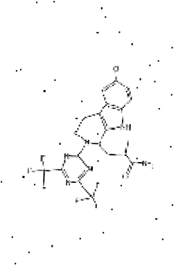 CC(CC1c2[nH]c3ccc(Cl)cc3c2CCN1c1nc(C(F)(F)F)nc(C(F)(F)F)n1)C(N)=O